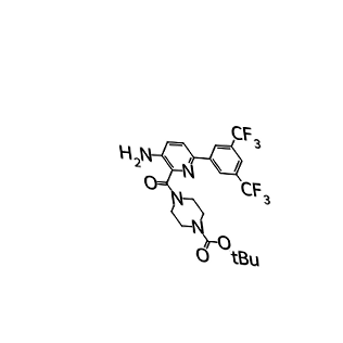 CC(C)(C)OC(=O)N1CCN(C(=O)c2nc(-c3cc(C(F)(F)F)cc(C(F)(F)F)c3)ccc2N)CC1